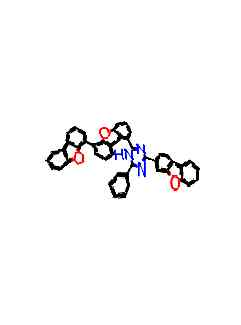 c1ccc(C2N=C(c3ccc4c(c3)oc3ccccc34)N=C(c3cccc4oc5c(-c6cccc7c6oc6ccccc67)cccc5c34)N2)cc1